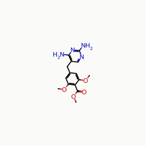 COC(=O)c1c(OC)cc(Cc2cnc(N)nc2N)cc1OC